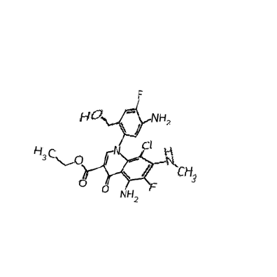 CCOC(=O)c1cn(-c2cc(N)c(F)cc2CO)c2c(Cl)c(NC)c(F)c(N)c2c1=O